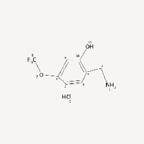 Cl.NCc1ccc(OC(F)(F)F)cc1O